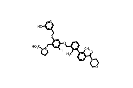 Cc1c(COc2cc(OCc3cncc(C#N)c3)c(CN3CCC[C@H]3C(=O)O)cc2Cl)cccc1-c1cccc(C(=O)N2CCOCC2)c1C